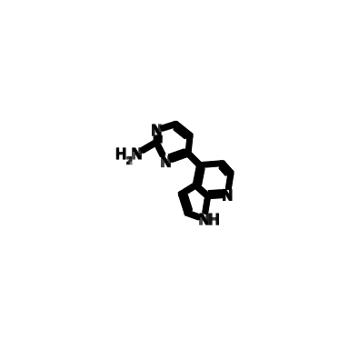 Nc1nccc(-c2ccnc3[nH]ccc23)n1